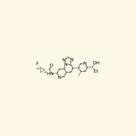 CCC(O)c1cc(C)c(-c2cc3cnc(NC(=O)[C@@H]4C[C@@H]4F)cc3n3ncnc23)cn1